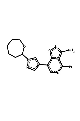 Nc1noc2c(-c3cnn(C4CCCCCO4)c3)cnc(Br)c12